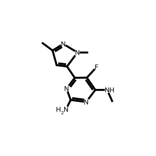 CNc1nc(N)nc(-c2cc(C)nn2C)c1F